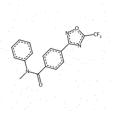 CN(C(=O)c1ccc(-c2noc(C(F)(F)F)n2)cc1)c1ccccc1